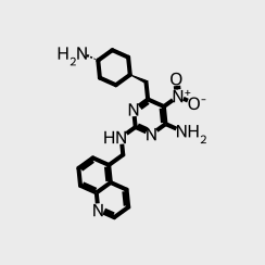 Nc1nc(NCc2cccc3ncccc23)nc(C[C@H]2CC[C@H](N)CC2)c1[N+](=O)[O-]